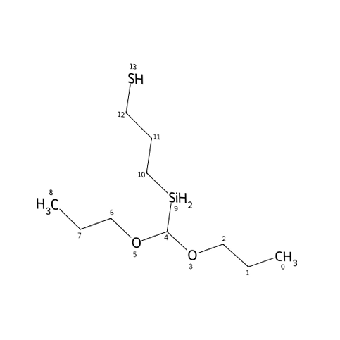 CCCOC(OCCC)[SiH2]CCCS